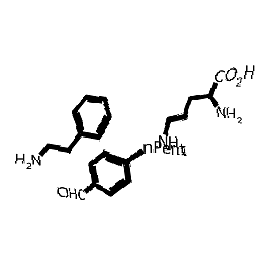 CCCCCc1ccc(C=O)cc1.NCCCC(N)C(=O)O.NCCc1ccccc1